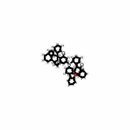 c1ccc(-n2c3ccccc3c3ccc(N(c4ccc5c(c4)Oc4ccccc4C54c5ccccc5-c5cccc6cccc4c56)c4cccc5oc6ccccc6c45)cc32)cc1